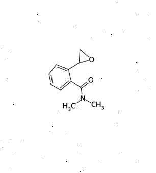 CN(C)C(=O)c1ccccc1C1CO1